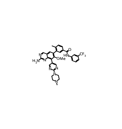 COc1c(-c2cc(C(=O)Nc3cccc(C(F)(F)F)c3)ccc2C)cc2cnc(N)nc2c1-c1cnc(N2CCN(C)CC2)nc1